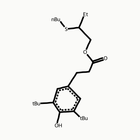 CCCCSC(CC)COC(=O)CCc1cc(C(C)(C)C)c(O)c(C(C)(C)C)c1